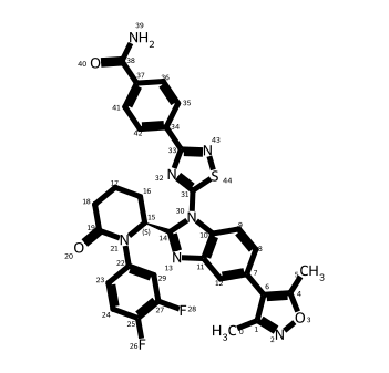 Cc1noc(C)c1-c1ccc2c(c1)nc([C@@H]1CCCC(=O)N1c1ccc(F)c(F)c1)n2-c1nc(-c2ccc(C(N)=O)cc2)ns1